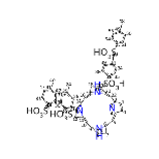 C1=CC2=NC1=CC1CCC(C=C3C=CC(=N3)C=c3ccc([nH]3)=C2)N1.Cc1ccc(S(=O)(=O)O)cc1.Cc1ccc(S(=O)(=O)O)cc1.Cc1ccc(S(=O)(=O)O)cc1.Cc1ccc(S(=O)(=O)O)cc1